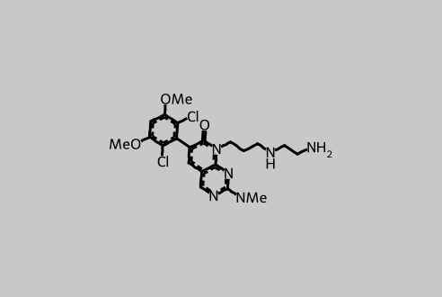 CNc1ncc2cc(-c3c(Cl)c(OC)cc(OC)c3Cl)c(=O)n(CCCNCCN)c2n1